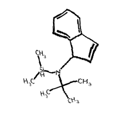 C[SiH](C)N(C1C=Cc2ccccc21)C(C)(C)C